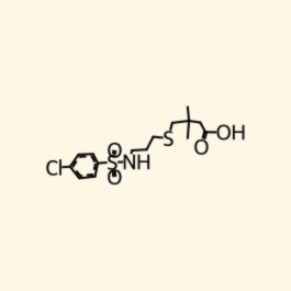 CC(C)(CSCCCNS(=O)(=O)c1ccc(Cl)cc1)CC(=O)O